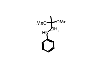 COC(C)(OC)[SiH2]Nc1ccccc1